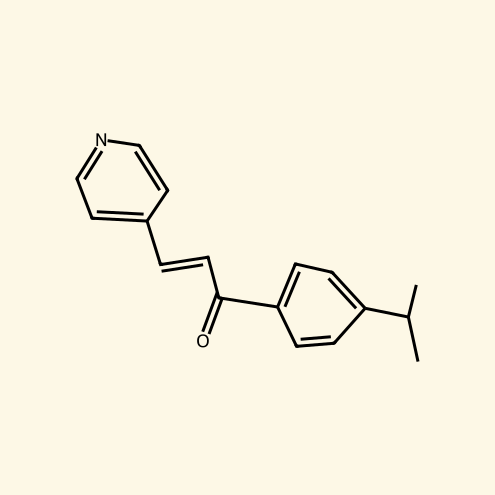 CC(C)c1ccc(C(=O)C=Cc2ccncc2)cc1